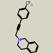 FC(F)(F)c1ccc(C#CCN2CCc3ccccc3C2)cc1